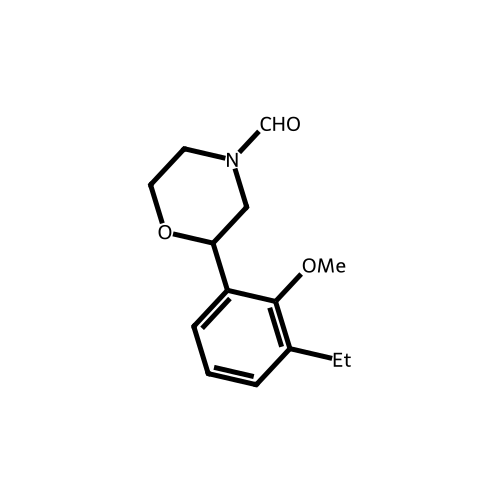 CCc1cccc(C2CN(C=O)CCO2)c1OC